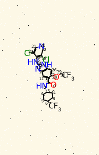 O=C(N[C@H]1CC[C@H](C(F)(F)F)CC1)c1cc2nc(Nc3c(Cl)cncc3Cl)[nH]c2cc1OCC(F)(F)F